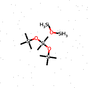 C[Si](C)(C)O[Si](C)(C)O[Si](C)(C)C.[SiH3]O[SiH3]